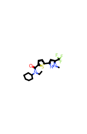 CCN(C(=O)c1ccc(-c2cc(C(F)(F)F)n(C)n2)s1)C1CCCCC1